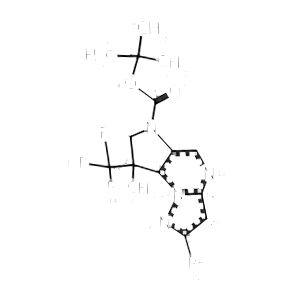 CC(C)(C)OC(=O)N1CC(C)(C(F)(F)F)c2c1cnc1cc(Br)nn21